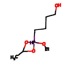 CCO[PH]1(CCCCO)OC(C)O1